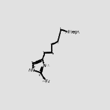 CCCCCCCCCCCCc1c[nH]c(CC)n1